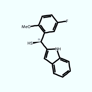 COc1ccc(F)cc1[C@H](S)c1cc2ccccc2[nH]1